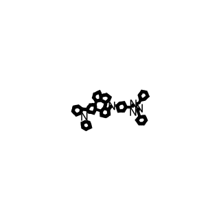 c1ccc(-c2nc(-c3ccccc3)nc(-c3ccc(-n4c5cccc6c5c5c7c(cccc7ccc54)-c4cc5c7ccccc7n(-c7ccccc7)c5cc4-6)cc3)n2)cc1